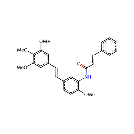 COc1ccc(C=Cc2cc(OC)c(OC)c(OC)c2)cc1NC(=O)/C=C/c1ccccc1